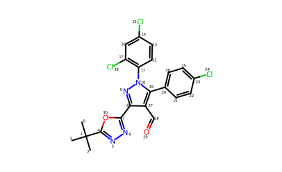 CC(C)(C)c1nnc(-c2nn(-c3ccc(Cl)cc3Cl)c(-c3ccc(Cl)cc3)c2C=O)o1